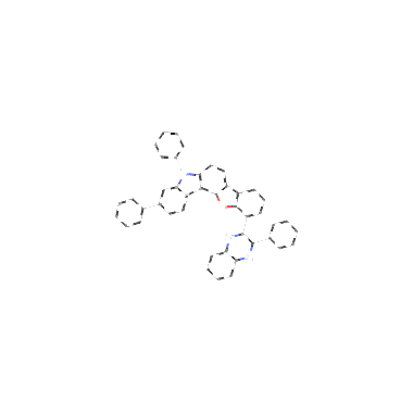 c1ccc(-c2ccc3c4c5oc6c(-c7nc8ccccc8nc7-c7ccccc7)cccc6c5ccc4n(-c4ccccc4)c3c2)cc1